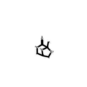 CC12OCC(COC1=O)O2